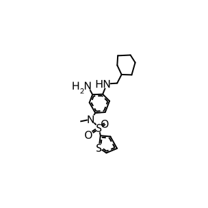 CN(c1ccc(NCC2CCCCC2)c(N)c1)S(=O)(=O)c1cccs1